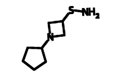 NSC1CN(C2CCCC2)C1